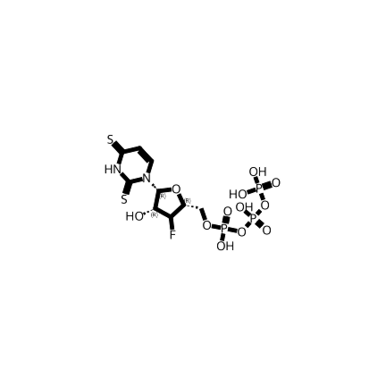 O=P(O)(O)OP(=O)(O)OP(=O)(O)OC[C@H]1O[C@@H](n2ccc(=S)[nH]c2=S)[C@@H](O)C1F